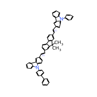 CC1(C)c2cc(/C=C/c3ccc4c(c3)c3ccccc3n4-c3ccccc3)ccc2-c2ccc(/C=C/c3ccc4c(c3)c3ccccc3n4-c3ccc(-c4ccccc4)cc3)cc21